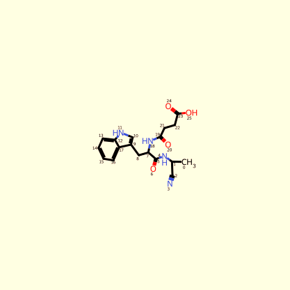 CC(C#N)NC(=O)C(Cc1c[nH]c2ccccc12)NC(=O)CCC(=O)O